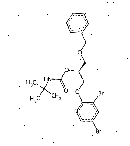 CC(C)(C)NC(=O)O[C@@H](COCc1ccccc1)COc1ncc(Br)cc1Br